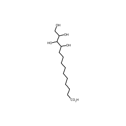 O=C(O)CCCCCCCCCC(O)C(O)C(O)CO